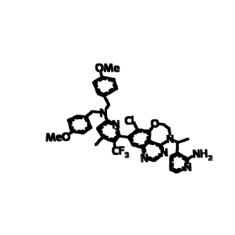 COc1ccc(CN(Cc2ccc(OC)cc2)c2cc(C)c(C(F)(F)F)c(-c3cc4ncnc5c4c(c3Cl)OCCN5C(C)c3cccnc3N)n2)cc1